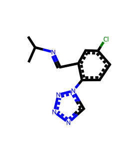 CC(C)N=Cc1cc(Cl)ccc1-n1cnnn1